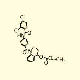 CCOC(=O)COC1CCCN(C(=O)c2ccc(NC(=O)c3ccc(Cl)cc3Cl)cc2)c2ccccc21